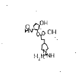 CC(=O)Nc1ccc(O)cc1OC(=O)CCC1CCN(C(=N)N)CC1.Cl